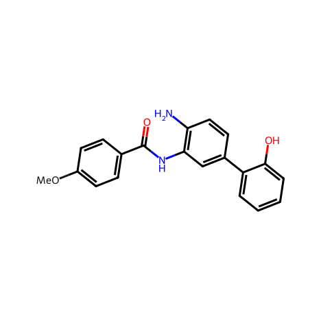 COc1ccc(C(=O)Nc2cc(-c3ccccc3O)ccc2N)cc1